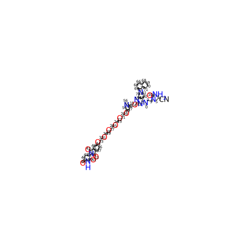 CN(CCN(CCC#N)C(N)=O)c1nc(OC[C@@H]2C[C@@H](OCCOCCOCCOCCOCCOc3ccc4c(c3)C(=O)N(C3CCC(=O)NC3=O)C4=O)CN2C)nc2c1CCN(c1cccc3ccccc13)C2